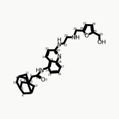 O=C(CC12CC3CC(CC(C3)C1)C2)Nc1cccc2nc(NCCNCc3ccc(CO)o3)ccc12